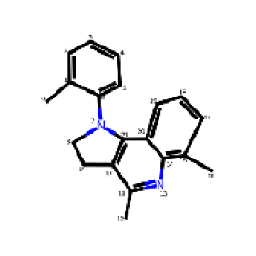 Cc1ccccc1N1CCc2c(C)nc3c(C)cccc3c21